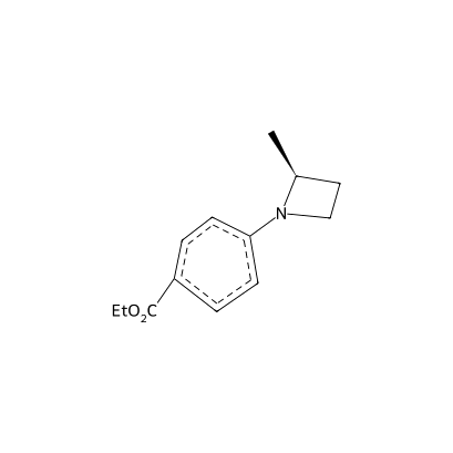 CCOC(=O)c1ccc(N2CC[C@@H]2C)cc1